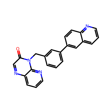 O=c1cnc2cccnc2n1Cc1cccc(-c2ccc3ncccc3c2)c1